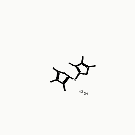 CC1=C(C)C(C)=[C]([Zr][C]2=C(C)C(C)=C(C)C2)C1.Cl.Cl